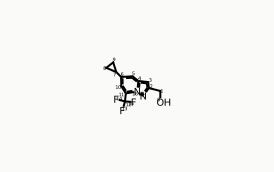 OCc1cc2cc(C3CC3)cc(C(F)(F)F)n2n1